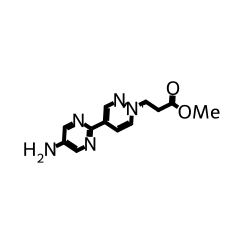 COC(=O)CC[n+]1ccc(-c2ncc(N)cn2)cn1